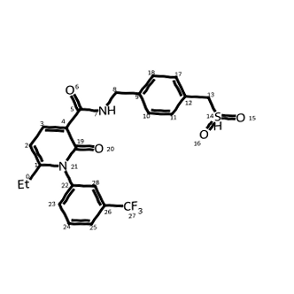 CCc1ccc(C(=O)NCc2ccc(C[SH](=O)=O)cc2)c(=O)n1-c1cccc(C(F)(F)F)c1